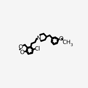 COc1cccc(CC2CCN(CCCc3c(Cl)ccc4c3COCO4)CC2)c1